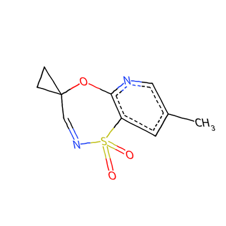 Cc1cnc2c(c1)S(=O)(=O)N=CC1(CC1)O2